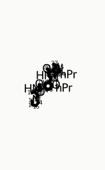 CCCOc1ccc(S(=O)(=O)NC(C)CN2CCCC2)cc1-c1nc2c(CCC)nn(C)c2c(=O)[nH]1